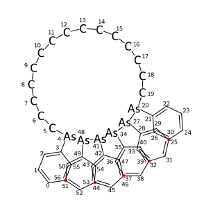 c1ccc([As]2CCCCCCCCCCCCCCC[As](c3ccccc3)[As](c3ccccc3)[As](c3ccccc3)[As](c3ccccc3)[As]2c2ccccc2)cc1